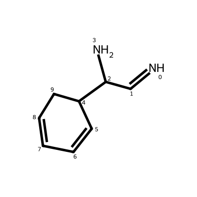 N=CC(N)C1C=CC=CC1